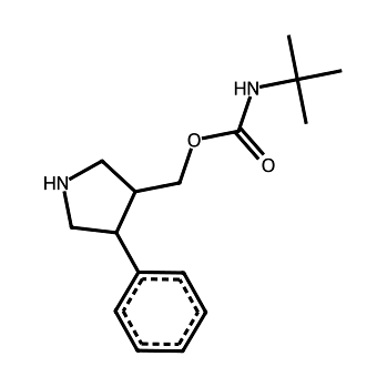 CC(C)(C)NC(=O)OCC1CNCC1c1ccccc1